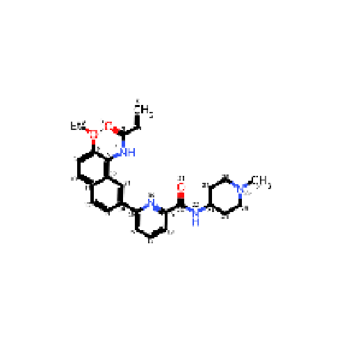 C=CC(=O)Nc1c(OCC)ccc2ccc(-c3cccc(C(=O)NC4CCN(C)CC4)n3)cc12